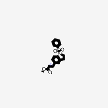 COC(=O)/C=C/c1ccc2c(c1)CCN2S(=O)(=O)c1ccccc1